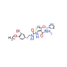 COc1ccc(CCNC(=O)Nc2snc(OCc3cccnc3)c2C(N)=O)cc1Br